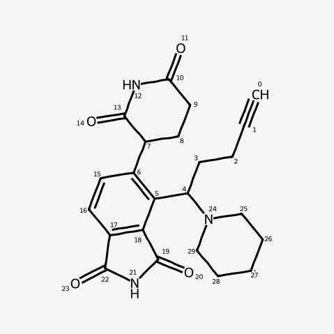 C#CCCC(c1c(C2CCC(=O)NC2=O)ccc2c1C(=O)NC2=O)N1CC[CH]CC1